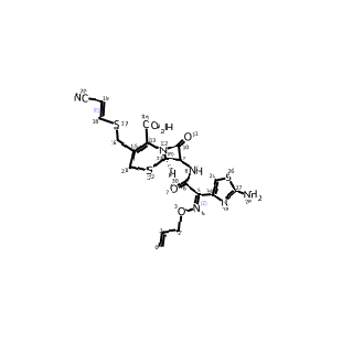 C=CCO/N=C(\C(=O)NC1C(=O)N2C(C(=O)O)=C(CS/C=C/C#N)CS[C@H]12)c1csc(N)n1